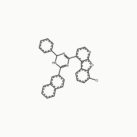 Clc1cccc2c1oc1nccc(C3=NC(c4ccccc4)NC(c4ccc5ccccc5c4)=N3)c12